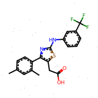 Cc1ccc(-c2nc(Nc3cccc(C(F)(F)F)c3)sc2CC(=O)O)c(C)c1